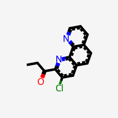 CCC(=O)c1nc2c(ccc3cccnc32)cc1Cl